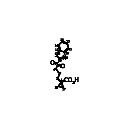 O=C(O)C1(CCCS(=O)(=O)c2nc3ccccc3s2)CC1